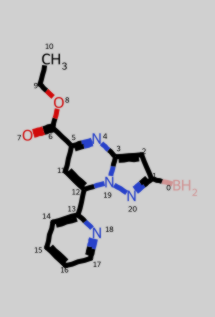 Bc1cc2nc(C(=O)OCC)cc(-c3ccccn3)n2n1